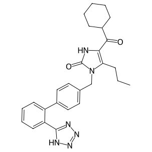 CCCc1c(C(=O)C2CCCCC2)[nH]c(=O)n1Cc1ccc(-c2ccccc2-c2nnn[nH]2)cc1